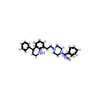 c1ccc(C2CCNc3c(CCN4CCN(c5nsc6ccccc56)CC4)cccc32)cc1